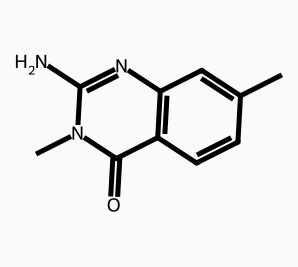 Cc1ccc2c(=O)n(C)c(N)nc2c1